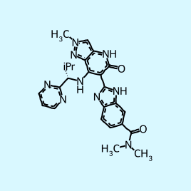 CC(C)[C@H](Nc1c(-c2nc3ccc(C(=O)N(C)C)cc3[nH]2)c(=O)[nH]c2cn(C)nc12)c1ncccn1